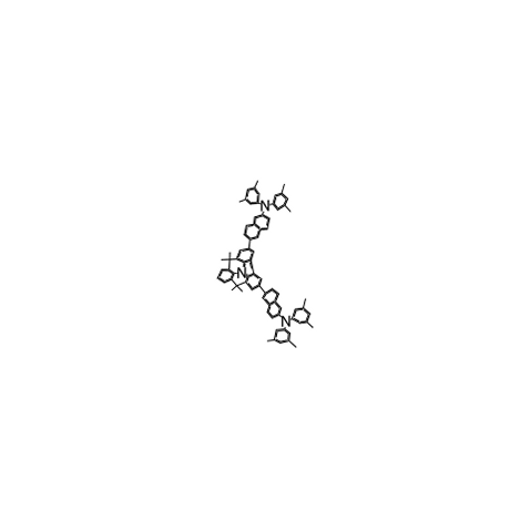 Cc1cc(C)cc(N(c2cc(C)cc(C)c2)c2ccc3cc(-c4cc5c6c(c4)c4cc(-c7ccc8cc(N(c9cc(C)cc(C)c9)c9cc(C)cc(C)c9)ccc8c7)cc7c4n6-c4c(cccc4C7(C)C)C5(C)C)ccc3c2)c1